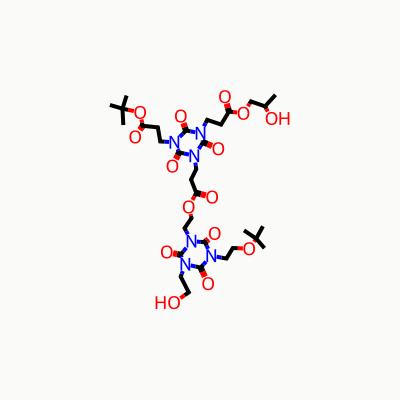 CC(O)COC(=O)CCn1c(=O)n(CCC(=O)OCCn2c(=O)n(CCO)c(=O)n(CCOC(C)(C)C)c2=O)c(=O)n(CCC(=O)OC(C)(C)C)c1=O